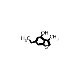 CCc1cc(O)c2c(C)csc2c1